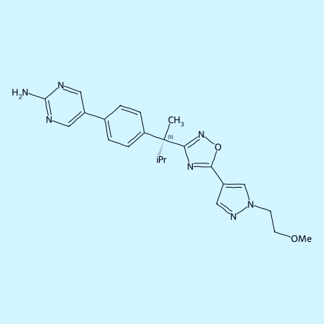 COCCn1cc(-c2nc([C@](C)(c3ccc(-c4cnc(N)nc4)cc3)C(C)C)no2)cn1